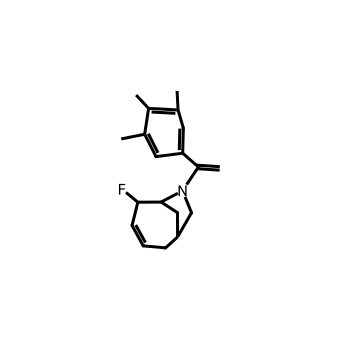 C=C(c1cc(C)c(C)c(C)c1)N1CC2CC=CC(F)C1C2